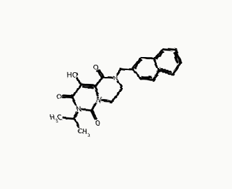 CC(C)n1c(=O)c(O)c2n(c1=O)CCN(Cc1ccc3ccccc3c1)C2=O